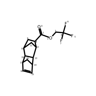 O=C(OCC(F)(F)F)C1CC2CC1C1C3C=CC(C3)C21